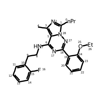 CCCc1nc(C)c2c(NCCc3ccccc3F)nc(-c3ccccc3OCC)nn12